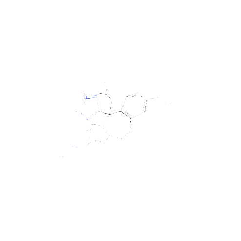 CONCc1ccc2c(c1)CCc1cc(CNOC)ccc1C2(C[C@@H](C)N)c1n[nH]c(=O)[nH]1